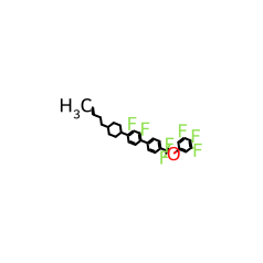 C/C=C/CCC1CCC(c2ccc(-c3ccc(C(F)(F)Oc4cc(F)c(F)c(F)c4)cc3)c(F)c2F)CC1